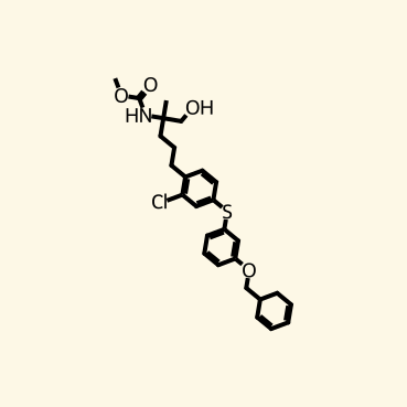 COC(=O)NC(C)(CO)CCCc1ccc(Sc2cccc(OCC3C=CC=CC3)c2)cc1Cl